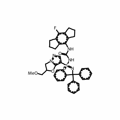 COCC1Cn2ncc(S(=O)(=NC(c3ccccc3)(c3ccccc3)c3ccccc3)NC(=O)Nc3c4c(c(F)c5c3CCC5)CCC4)c2O1